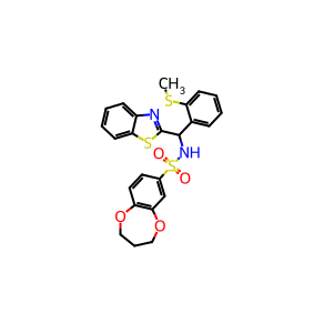 CSc1ccccc1C(NS(=O)(=O)c1ccc2c(c1)OCCCO2)c1nc2ccccc2s1